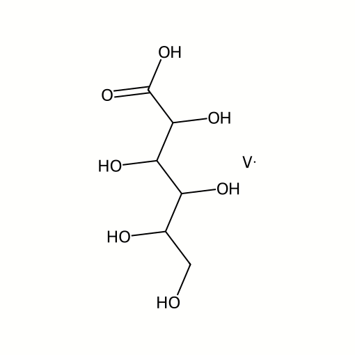 O=C(O)C(O)C(O)C(O)C(O)CO.[V]